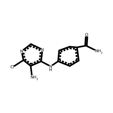 NC(=O)c1ccc(Nc2ncnc(Cl)c2N)cc1